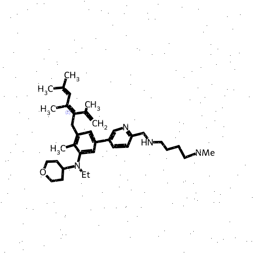 C=C(C)/C(Cc1cc(-c2ccc(CNCCCCNC)nc2)cc(N(CC)C2CCOCC2)c1C)=C(/C)C=C(C)C